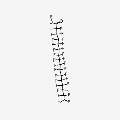 O=C(OF)C(F)(F)C(F)(F)C(F)(F)C(F)(F)C(F)(F)C(F)(F)C(F)(F)C(F)(F)C(F)(F)C(F)(F)C(F)(F)C(F)(F)C(F)(F)C(F)(F)C(F)F